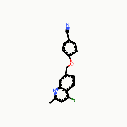 Cc1cc(Cl)c2ccc(COc3ccc(C#N)cc3)cc2n1